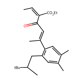 C/C=C(\C(=O)/C=C(\C)c1cc(C)c(C)cc1CC(C)C(C)(C)C)C(=O)OCC